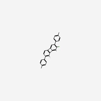 Cc1ccc(-c2cc3c(c(Cl)c2F)-c2c-3ccc(-c3ccc(C)cc3)c2F)cc1